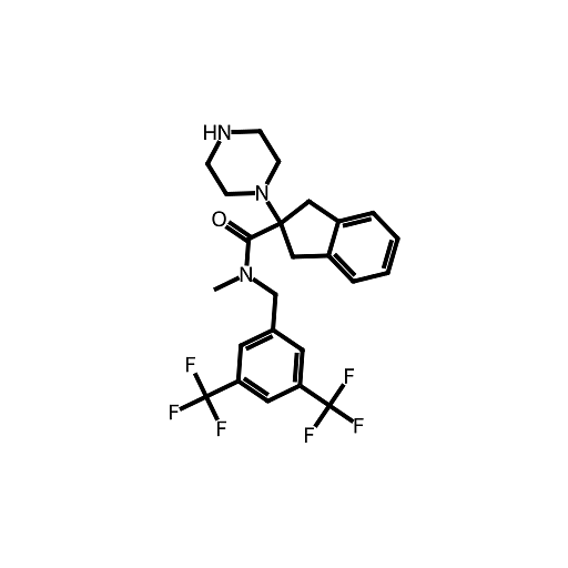 CN(Cc1cc(C(F)(F)F)cc(C(F)(F)F)c1)C(=O)C1(N2CCNCC2)Cc2ccccc2C1